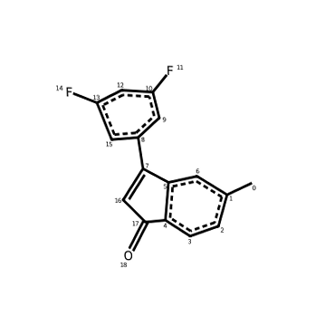 Cc1ccc2c(c1)C(c1cc(F)cc(F)c1)=CC2=O